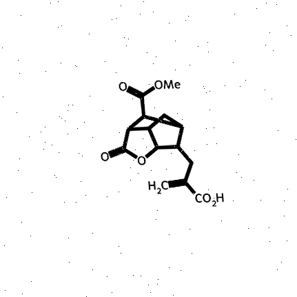 C=C(CC1C2CC3C1OC(=O)C3C2C(=O)OC)C(=O)O